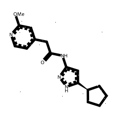 COc1cc(CC(=O)Nc2cc([C@H]3C[CH]CC3)[nH]n2)ccn1